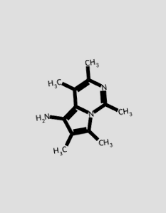 Cc1nc(C)n2c(C)c(C)c(N)c2c1C